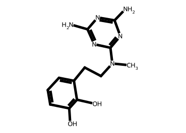 CN(CCc1cccc(O)c1O)c1nc(N)nc(N)n1